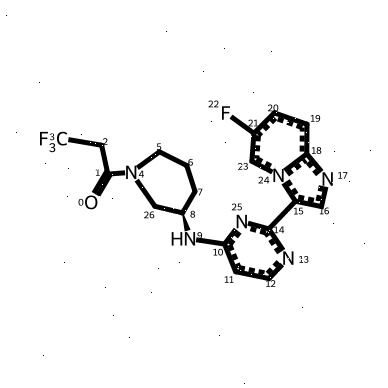 O=C(CC(F)(F)F)N1CCC[C@@H](Nc2ccnc(-c3cnc4ccc(F)cn34)n2)C1